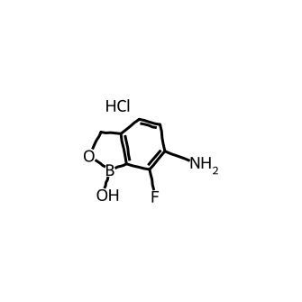 Cl.Nc1ccc2c(c1F)B(O)OC2